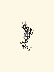 CCn1c(=O)[nH]/c(=N\c2ccc(Oc3cccc(C(=O)O)n3)cc2)n(Cc2ccc(Cl)cn2)c1=O